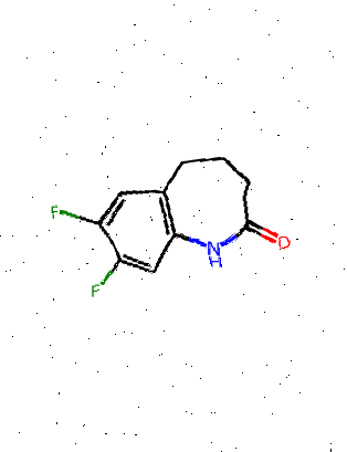 O=C1CCCc2cc(F)c(F)cc2N1